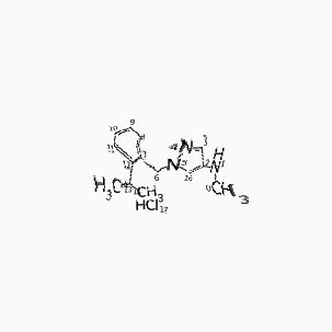 CNc1cnn(Cc2ccccc2C(C)C)c1.Cl